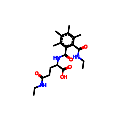 CCNC(=O)CCC(NC(=O)c1c(C)c(C)c(C)c(C)c1C(=O)NCC)C(=O)O